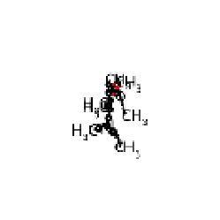 CCCCCCCCOc1ccc(C2(c3ccc(C)cc3)c3cc(C)ccc3-c3ccc(-c4ccc5c(c4)C(C)(C)c4cc(-c6ccc(-c7cc(-c8ccc(C)cc8)nc(-c8ccc(CCCCCC)cc8)n7)cc6)ccc4-5)cc32)cc1